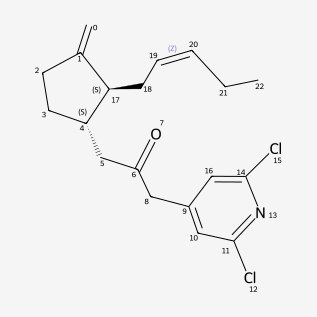 C=C1CC[C@@H](CC(=O)Cc2cc(Cl)nc(Cl)c2)[C@@H]1C/C=C\CC